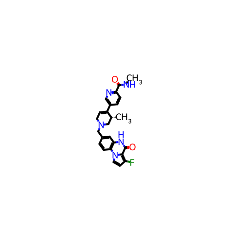 CNC(=O)c1ccc(C2=CCN(Cc3ccc4c(c3)[nH]c(=O)c3c(F)ccn34)C[C@H]2C)cn1